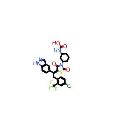 O=C(O)NC1CCCC(N2C(=O)SC(=C(Cc3ccc(Cl)cc3C(F)(F)F)c3ccc4[nH]ncc4c3)C2=O)C1